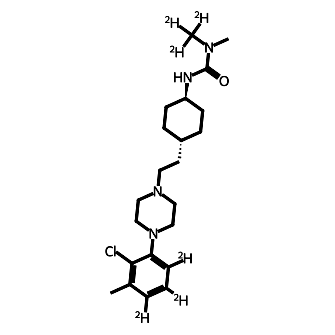 [2H]c1c([2H])c(C)c(Cl)c(N2CCN(CC[C@H]3CC[C@H](NC(=O)N(C)C([2H])([2H])[2H])CC3)CC2)c1[2H]